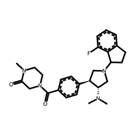 CN1CCN(C(=O)c2ccc([C@H]3CN(C4CCc5cccc(F)c54)C[C@@H]3N(C)C)cc2)CC1=O